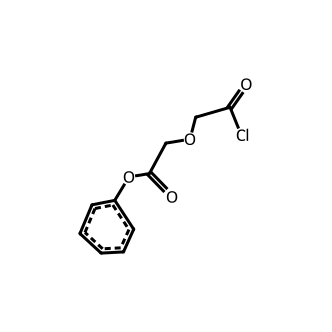 O=C(Cl)COCC(=O)Oc1ccccc1